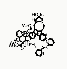 CC[C@]1(O)C[C@@H]2C[N@@](CCc3c([nH]c4ccccc34)[C@@](C(=O)OC)(c3cc4c(cc3OC)N(C)[C@H]3[C@@](O)(C(=O)OC)[C@H](OC(C)=O)[C@]5(CC)C=CCN6CC[C@]43[C@@H]65)C2)C1.c1ccc(SSc2ccccn2)nc1